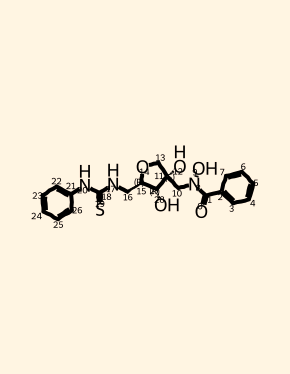 O=C(c1ccccc1)N(O)C[C@]1(O)CO[C@H](CNC(=S)Nc2ccccc2)[C@H]1O